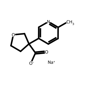 Cc1ccc(C2(C(=O)[O-])CCOC2)cn1.[Na+]